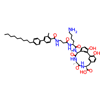 CCCCCCCCCc1ccc(-c2ccc(C(=O)NCCC(=O)N[C@@H](CCCCN)C(=O)N(C)[C@@H]3C(=O)N[C@@H](C)C(=O)N[C@H](C(=O)O)Cc4ccc(O)c(c4)-c4cc3ccc4O)c(C)c2)cc1